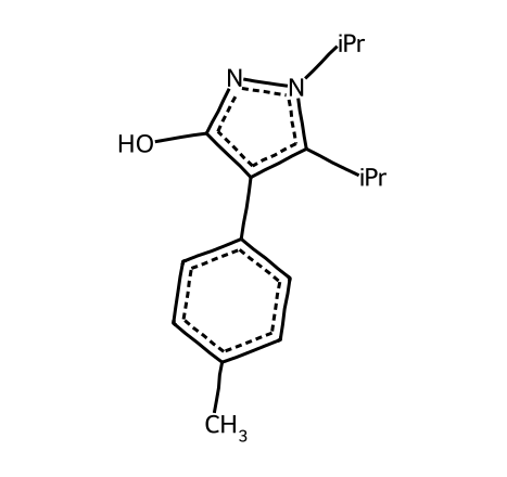 Cc1ccc(-c2c(O)nn(C(C)C)c2C(C)C)cc1